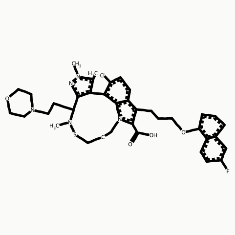 Cc1c2c(nn1C)C(CCN1CCOCC1)N(C)SCCCn1c(C(=O)O)c(CCCOc3cccc4cc(F)ccc34)c3ccc(Cl)c-2c31